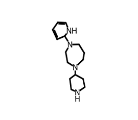 C1=CNC(N2CCCN(C3CCNCC3)CC2)C=C1